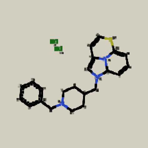 C1=CC2N(CC3CCN(Cc4ccccc4)CC3)C=C3C=CSC(=C1)N32.Cl.Cl